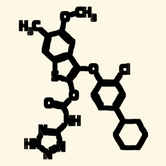 COc1cc2c(Oc3ccc(C4CCCCC4)cc3Cl)c(OC(=O)Nc3nn[nH]n3)sc2cc1C